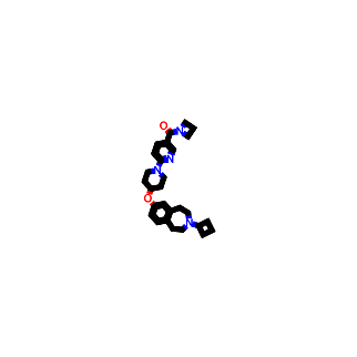 O=C(c1ccc(N2CCC(Oc3ccc4c(c3)CCN(C3CCC3)CC4)CC2)nc1)N1CCC1